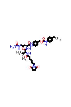 CCc1ccc(NC(=O)OCc2ccc(NC(=O)[C@H](CCCNC(N)=O)NC(=O)[C@@H](NC(=O)CCCCCN3C(=O)C=CC3=O)C(C)C)cc2)cc1